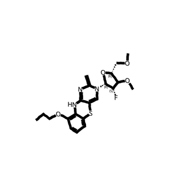 C=C1N=C2Nc3c(OCCC)cccc3SC2=CN1[C@@H]1O[C@H](COC)C(OC)[C@@H]1F